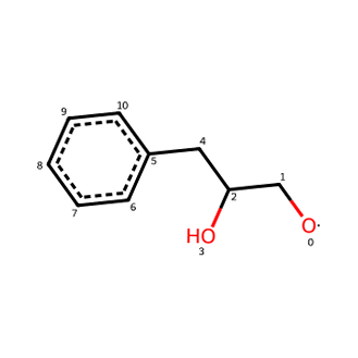 [O]CC(O)Cc1ccccc1